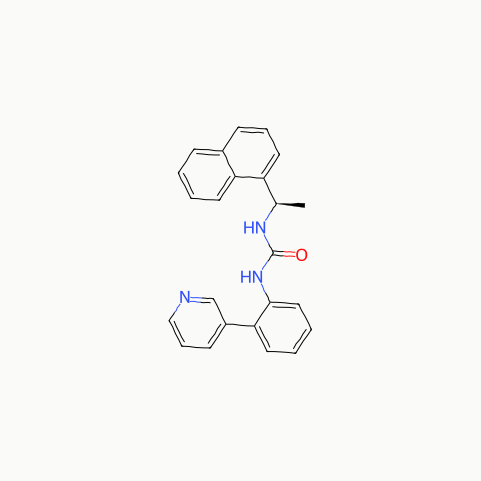 C[C@@H](NC(=O)Nc1ccccc1-c1cccnc1)c1cccc2ccccc12